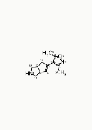 Cc1noc(C)c1C1=CC2CNCC2C1